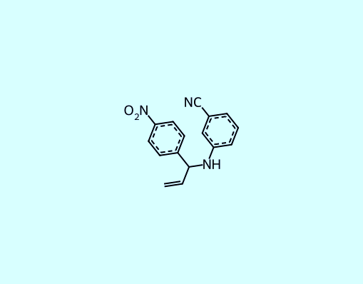 C=CC(Nc1cccc(C#N)c1)c1ccc([N+](=O)[O-])cc1